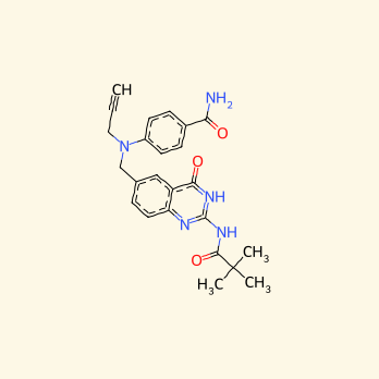 C#CCN(Cc1ccc2nc(NC(=O)C(C)(C)C)[nH]c(=O)c2c1)c1ccc(C(N)=O)cc1